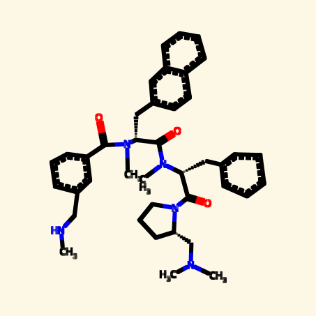 CNCc1cccc(C(=O)N(C)[C@H](Cc2ccc3ccccc3c2)C(=O)N(C)[C@H](Cc2ccccc2)C(=O)N2CCC[C@H]2CN(C)C)c1